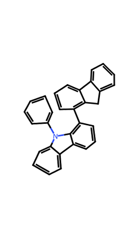 c1ccc(-n2c3ccccc3c3cccc(-c4cccc5c4Cc4ccccc4-5)c32)cc1